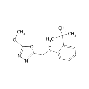 COc1nnc(CNc2ccccc2C(C)(C)C)o1